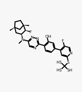 CN(c1cnc(-c2ccc(-c3cc(SC(S)(S)S)ncc3F)cc2O)nn1)[C@H]1C[C@]2(C)CC[C@@](C)(C2)[C@H]1F